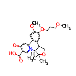 COCCCOc1cc2c(cc1OC)-c1cc(=O)c(C(=O)O)cn1[C@H]1C2COC1(C)C